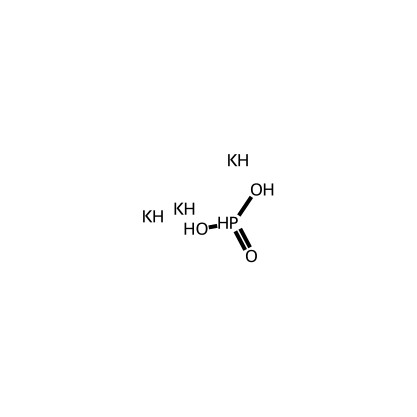 O=[PH](O)O.[KH].[KH].[KH]